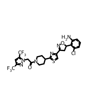 Nc1cccc(Cl)c1C1CC(c2csc(C3CCN(C(=O)Cn4nc(C(F)(F)F)cc4C(F)(F)F)CC3)n2)=NO1